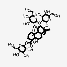 C=C1C[C@]23CC[C@@H]4[C@](C)(CCC[C@@]4(C)C(=O)O[C@@H]4O[C@H](CO)[C@@H](O)[C@H](O)[C@H]4O)[C@H]2CC[C@@]1(O[C@H]1O[C@H](CO)[C@@H](O)[C@H](O)[C@H]1O[C@@H]1O[C@H](CO)[C@@H](O)[C@H](O)[C@H]1O)C3